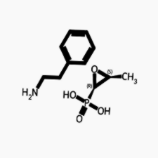 C[C@@H]1O[C@@H]1P(=O)(O)O.NCCc1ccccc1